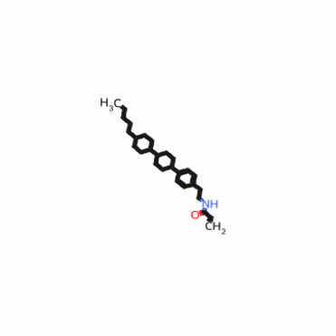 C=CC(=O)NCCc1ccc(C2CCC(C3CCC(CCCCC)CC3)CC2)cc1